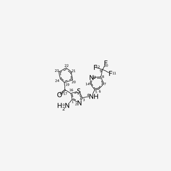 Nc1nc(Nc2ccc(C(F)(F)F)nc2)sc1C(=O)c1ccccc1